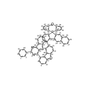 c1ccc(-c2nc(-c3cccc4oc5ccc(-c6cccc7c6-c6cc8ccccc8cc6C76c7ccccc7Oc7ccccc76)cc5c34)c3sc4ccccc4c3n2)cc1